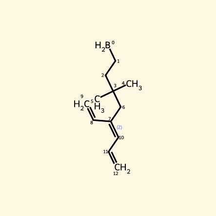 BCCC(C)(C)C/C(C=C)=C/C=C